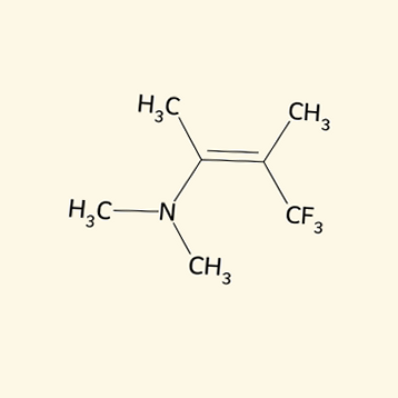 C/C(=C(\C)C(F)(F)F)N(C)C